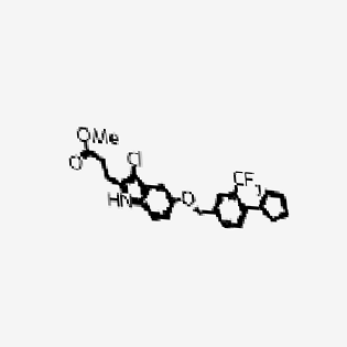 COC(=O)CCc1[nH]c2ccc(OCc3ccc(C4CCCC4)c(C(F)(F)F)c3)cc2c1Cl